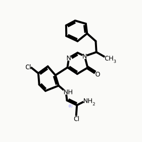 CC(Cc1ccccc1)n1cnc(-c2cc(Cl)ccc2N/C=C(\N)Cl)cc1=O